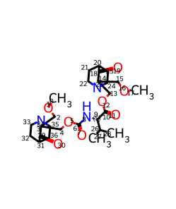 COCC1(COC(=O)N[C@H](C(=O)OCC2(COC)C(=O)C3CCN2CC3)C(C)C)C(=O)C2CCN1CC2